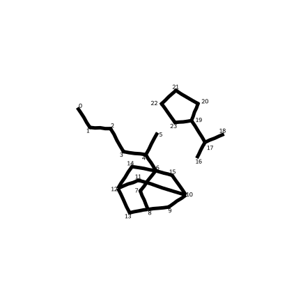 CCCCC(C)C12CC3CC(CC(C3)C1)C2.C[C](C)C1CCCC1